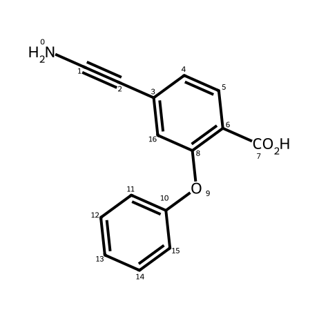 NC#Cc1ccc(C(=O)O)c(Oc2ccccc2)c1